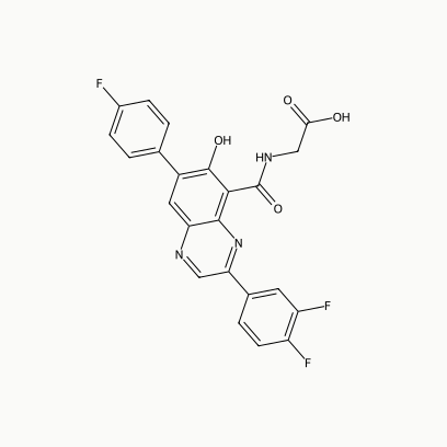 O=C(O)CNC(=O)c1c(O)c(-c2ccc(F)cc2)cc2ncc(-c3ccc(F)c(F)c3)nc12